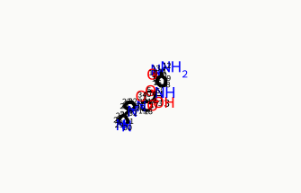 C[C@]1(C(O)C(=O)Nc2ccc3c(N)noc3c2)OCCN(c2cccc(-c3ccnnc3)n2)C1=O